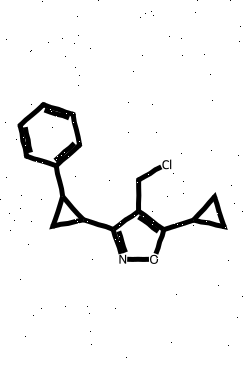 ClCc1c(C2CC2c2ccccc2)noc1C1CC1